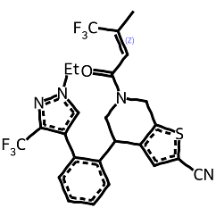 CCn1cc(-c2ccccc2C2CN(C(=O)/C=C(/C)C(F)(F)F)Cc3sc(C#N)cc32)c(C(F)(F)F)n1